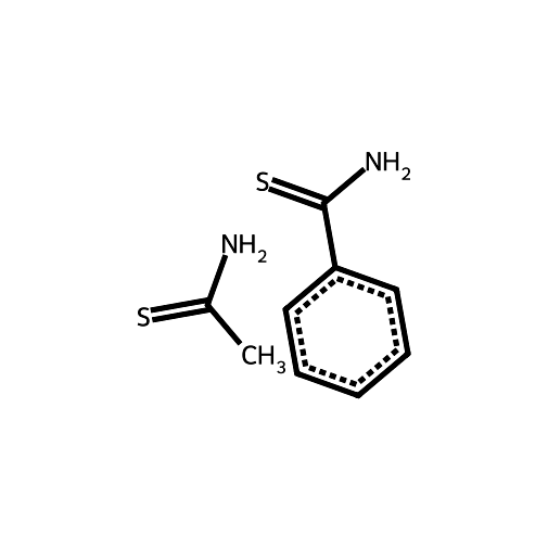 CC(N)=S.NC(=S)c1ccccc1